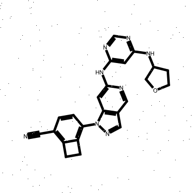 N#Cc1ccc(-n2ncc3cnc(Nc4cc(NC5CCOC5)ncn4)cc32)c2c1CC2